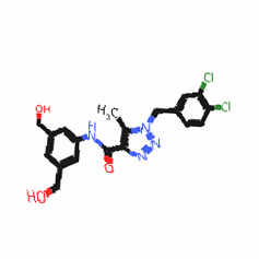 Cc1c(C(=O)Nc2cc(CO)cc(CO)c2)nnn1Cc1ccc(Cl)c(Cl)c1